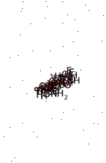 CCCCCCC[C@H](NC(=O)[C@H](NC(=O)[C@@H](CCC(N)=O)NC(=O)[C@H](CO)NC(=O)[C@@H](NC(=O)[C@@H](Cc1ccccc1)NC)[C@@H](C)CC)[C@@H](C)CC)C(=O)N[C@@H](CO)C(=O)N[C@H]1C(=O)N[C@@H](C)C(=O)N[C@]2(CC(=O)N[C@@H]([C@@H](C)CC)C(=O)O[C@H]1C)C[C@H]2CC(F)F